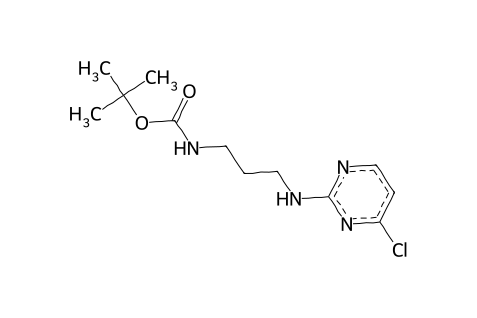 CC(C)(C)OC(=O)NCCCNc1nccc(Cl)n1